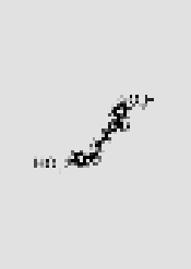 O=C(O)c1ccc(C(=O)OCCCCCOC(=O)c2ccc(C(=O)O)cc2)cc1